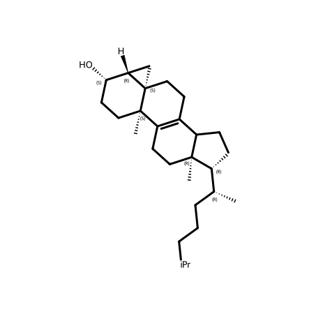 CC(C)CCC[C@@H](C)[C@H]1CCC2C3=C(CC[C@@]21C)[C@@]1(C)CC[C@H](O)[C@@H]2C[C@@]21CC3